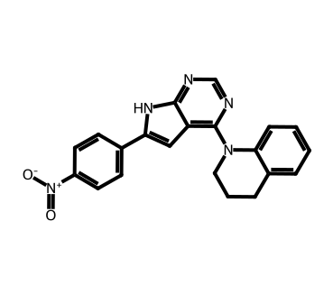 O=[N+]([O-])c1ccc(-c2cc3c(N4CCCc5ccccc54)ncnc3[nH]2)cc1